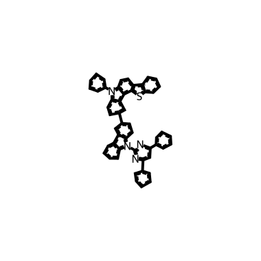 c1ccc(-c2cc(-c3ccccc3)nc(-n3c4ccccc4c4cc(-c5ccc6c(c5)c5c7sc8ccccc8c7ccc5n6-c5ccccc5)ccc43)n2)cc1